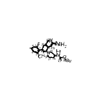 Cc1cccc(F)c1-c1cc(N2CCC[C@H](NC(=O)OC(C)(C)C)C2)c2cc(N)ncc2c1